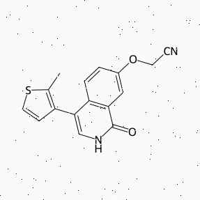 Cc1sccc1-c1c[nH]c(=O)c2cc(OCC#N)ccc12